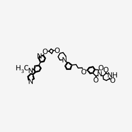 Cn1c2ccncc2c2ccc(-c3ccc(OC4CC(OC5CCN(c6cccc(CCCOc7ccc8c(c7)C(=O)N(C7CCC(=O)NC7=O)C8=O)c6)CC5)C4)nc3)cc21